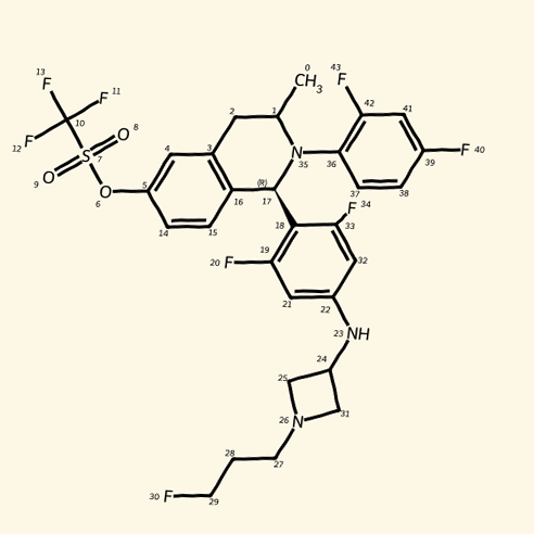 CC1Cc2cc(OS(=O)(=O)C(F)(F)F)ccc2[C@H](c2c(F)cc(NC3CN(CCCF)C3)cc2F)N1c1ccc(F)cc1F